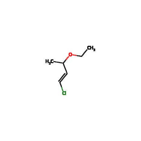 CCOC(C)C=CCl